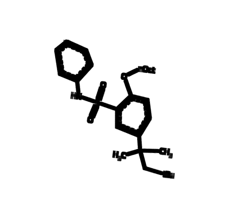 CCCCCCCCOc1ccc(C(C)(C)CC(C)(C)C)cc1S(=O)(=O)Nc1cc[c]cc1